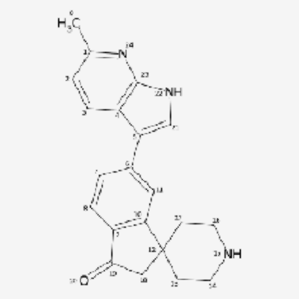 Cc1ccc2c(-c3ccc4c(c3)C3(CCNCC3)CC4=O)c[nH]c2n1